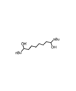 CCCCC(O)CCCCCCC(O)CCCC